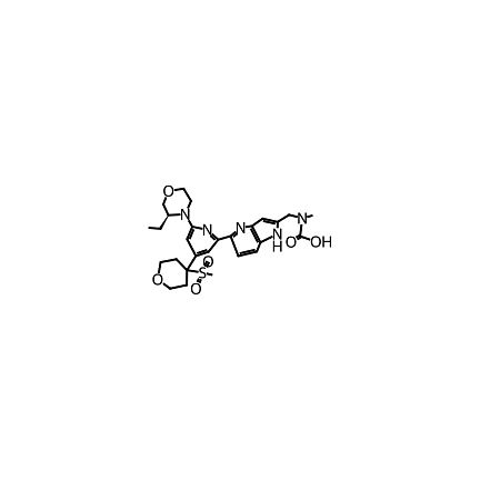 CC[C@H]1COCCN1c1cc(C2(S(C)(=O)=O)CCOCC2)cc(-c2ccc3[nH]c(CN(C)C(=O)O)cc3n2)n1